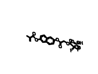 C=C(C)C(=O)Oc1ccc2cc(OC(=O)COC(=O)C(F)(F)S(=O)(=O)O)ccc2c1